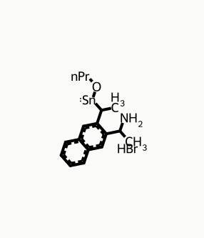 Br.CCC[O][Sn][CH](C)c1cc2ccccc2cc1C(C)N